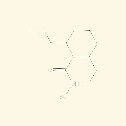 CCOC(=O)CC1CCCC(CC(=O)O)N1C(=O)OC(C)(C)C